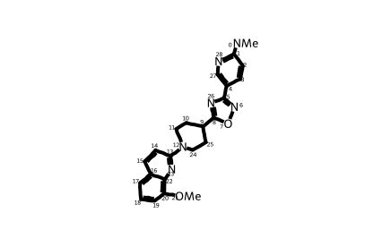 CNc1ccc(-c2noc(C3CCN(c4ccc5cccc(OC)c5n4)CC3)n2)cn1